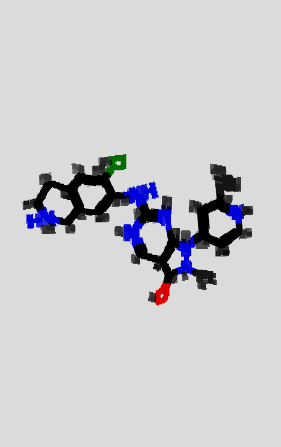 CCn1c(=O)c2cnc(Nc3cc4c(cc3Cl)CCNC4)nc2n1-c1ccnc(C(C)(C)C)c1